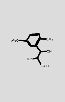 COc1ccc(OC)c(C(O)C(N)C(=O)O)c1